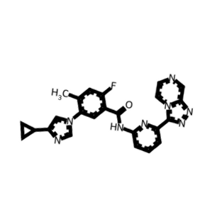 Cc1cc(F)c(C(=O)Nc2cccc(-c3nnc4cnccn34)n2)cc1-n1cnc(C2CC2)c1